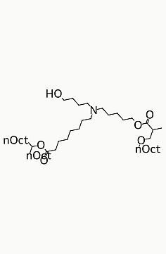 CCCCCCCCOCC(C)C(=O)OCCCCCN(CCCCO)CCCCCCCC(=O)OC(CCCCCCCC)CCCCCCCC